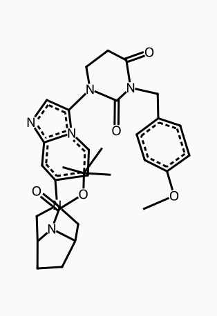 COc1ccc(CN2C(=O)CCN(c3cnc4cc(N5CC6CCC(C5)N6C(=O)OC(C)(C)C)ccn34)C2=O)cc1